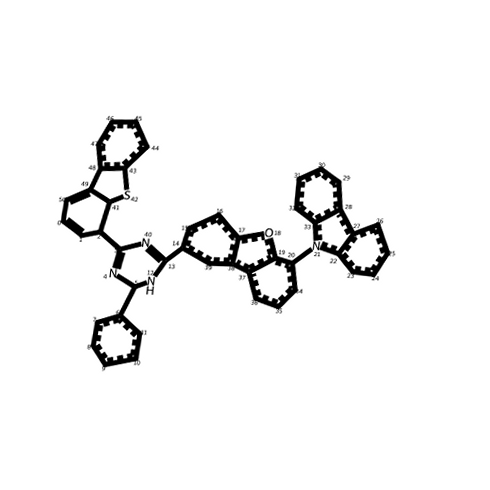 C1=CC(C2=NC(c3ccccc3)NC(c3ccc4oc5c(-n6c7ccccc7c7ccccc76)cccc5c4c3)=N2)C2Sc3ccccc3C2=C1